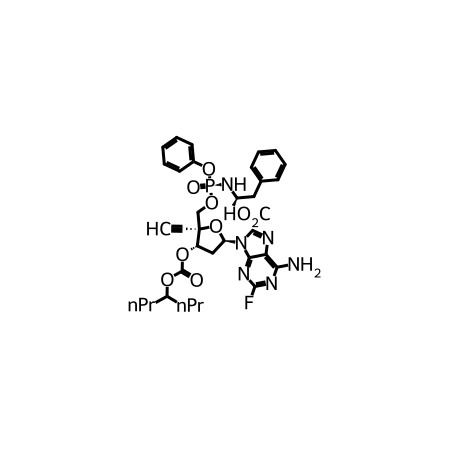 C#C[C@]1(CO[P@@](=O)(N[C@@H](Cc2ccccc2)C(=O)O)Oc2ccccc2)O[C@@H](n2cnc3c(N)nc(F)nc32)C[C@@H]1OC(=O)OC(CCC)CCC